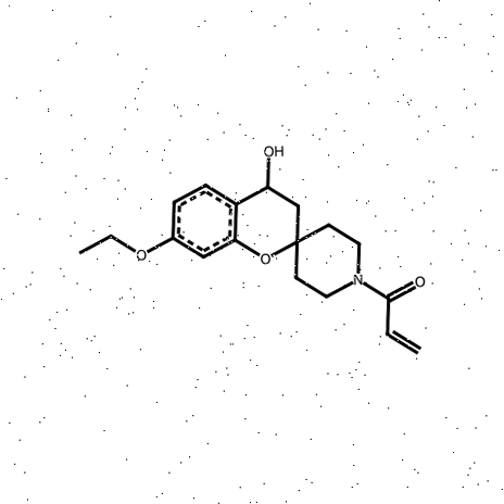 C=CC(=O)N1CCC2(CC1)CC(O)c1ccc(OCC)cc1O2